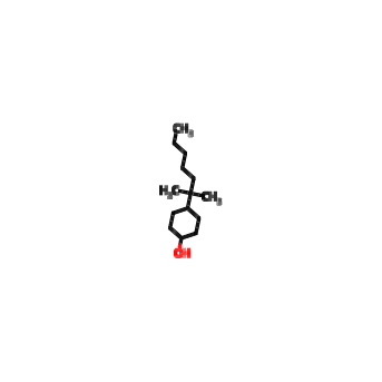 CCCCCC(C)(C)C1CCC(O)CC1